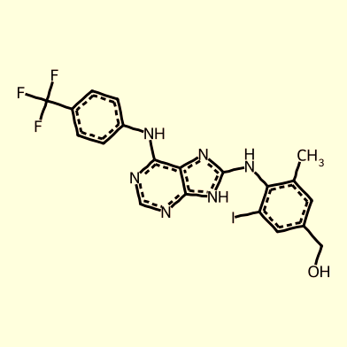 Cc1cc(CO)cc(I)c1Nc1nc2c(Nc3ccc(C(F)(F)F)cc3)ncnc2[nH]1